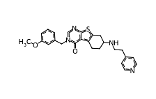 COc1cccc(Cn2cnc3sc4c(c3c2=O)CCC(NCCc2ccncc2)C4)c1